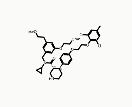 COCCOc1cc(CCOC)cc(CN(C(=O)[C@H]2CNCC[C@@H]2c2ccc(OCCOc3c(Cl)cc(C)cc3Cl)cc2)C2CC2)c1